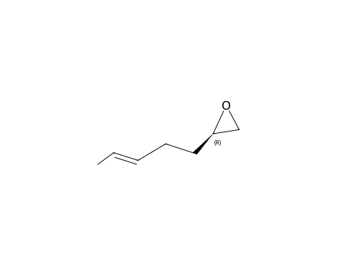 CC=CCC[C@@H]1CO1